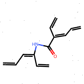 C=C/C=C(\C=C)NC(=O)/C(C=C)=C/C=C